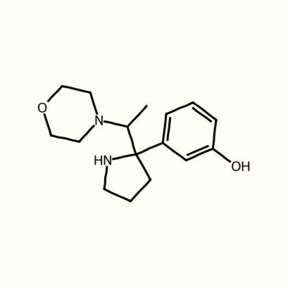 CC(N1CCOCC1)C1(c2cccc(O)c2)CCCN1